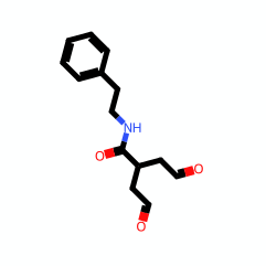 O=CCC(CC=O)C(=O)NCCc1ccccc1